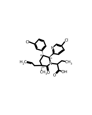 C=CC[C@@]1(C)C[C@H](c2cccc(Cl)c2)[C@@H](c2ccc(Cl)cn2)N(C(CC)C(=O)O)C1=O